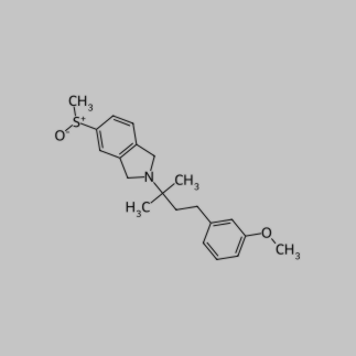 COc1cccc(CCC(C)(C)N2Cc3ccc([S+](C)[O-])cc3C2)c1